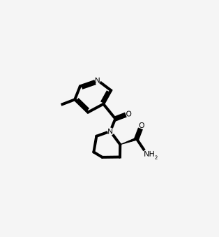 Cc1cncc(C(=O)N2CCCC[C@@H]2C(N)=O)c1